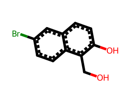 OCc1c(O)ccc2cc(Br)ccc12